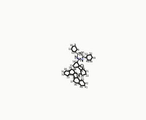 C=N/C(=N\C(=N/Cc1ccccc1)c1cccc2c1oc1cccc(-n3c4ccc5ccccc5c4c4ccc5ccccc5c43)c12)c1ccccc1